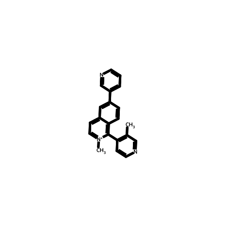 Cc1cnccc1-c1c2ccc(-c3cccnc3)cc2cc[n+]1C